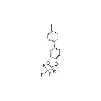 O=S(=O)(Oc1ccc(-c2ccc(I)cc2)cc1)C(F)(F)F